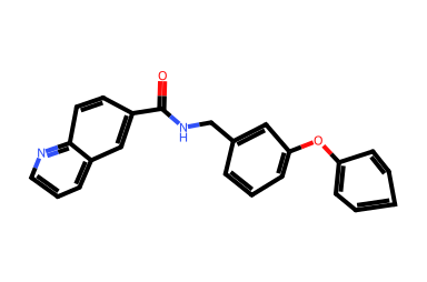 O=C(NCc1cccc(Oc2ccccc2)c1)c1ccc2ncccc2c1